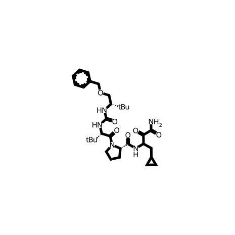 CC(C)(C)[C@H](NC(=O)N[C@H](COCc1ccccc1)C(C)(C)C)C(=O)N1CCC[C@H]1C(=O)NC(CC1CC1)C(=O)C(N)=O